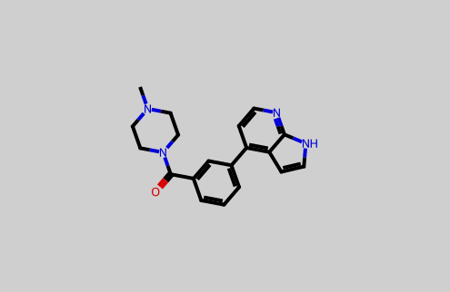 CN1CCN(C(=O)c2cccc(-c3ccnc4[nH]ccc34)c2)CC1